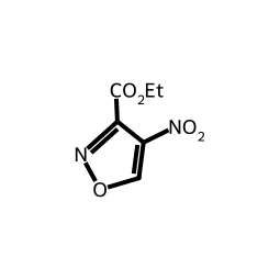 CCOC(=O)c1nocc1[N+](=O)[O-]